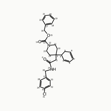 O=C(CC1(C2C=CC=CC2)CCN(C(=O)OCc2ccccc2)CC1)NCc1ccc(Cl)cc1